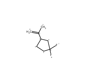 C=C(C)C1CCC(F)(F)C1